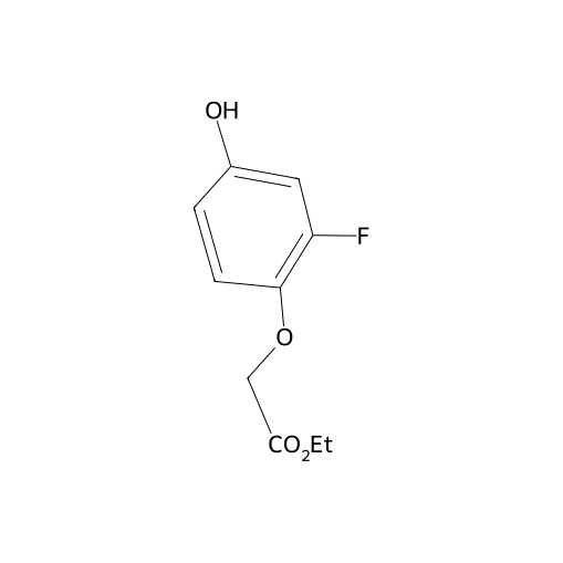 CCOC(=O)COc1ccc(O)cc1F